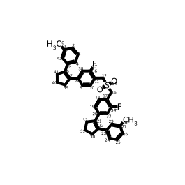 Cc1cccc(C2=C(c3ccc(CS(=O)(=O)Cc4ccc(C5=C(c6cccc(C)c6)CCC5)cc4F)c(F)c3)CCC2)c1